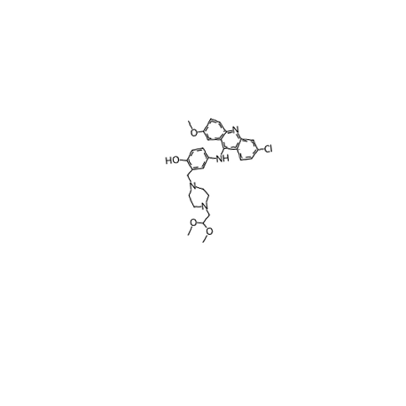 COc1ccc2nc3cc(Cl)ccc3c(Nc3ccc(O)c(CN4CCN(CC(OC)OC)CC4)c3)c2c1